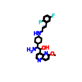 COc1ccc2nccc(C(O)C(N)C3CCC(NC/C=C/c4cc(F)ccc4F)CC3)c2n1